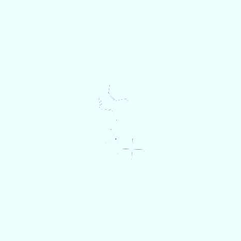 CCOC(=O)c1cnn(CCC(C)(C)O[Si](C)(C)C)c1C